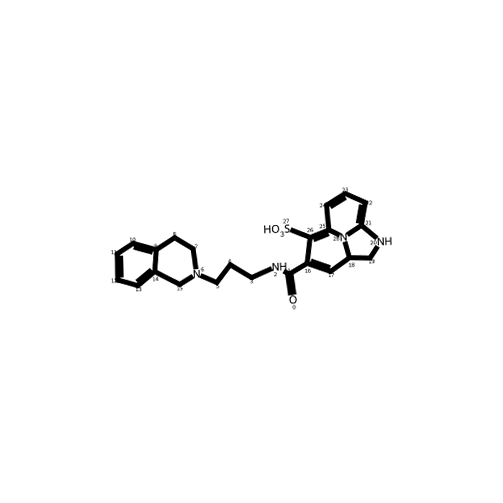 O=C(NCCCN1CCc2ccccc2C1)C1=CC2CNC3=CC=CC(=C1S(=O)(=O)O)N32